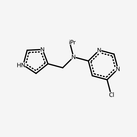 CC(C)N(Cc1c[nH]cn1)c1cc(Cl)ncn1